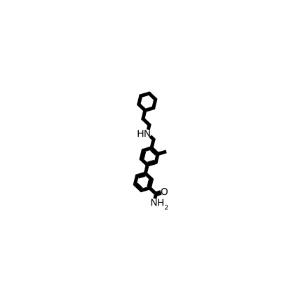 Cc1cc(-c2cccc(C(N)=O)c2)ccc1CNCCC1CCCCC1